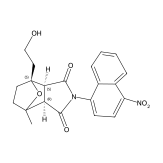 CC12CC[C@@](CCO)(O1)[C@H]1C(=O)N(c3ccc([N+](=O)[O-])c4ccccc34)C(=O)[C@H]12